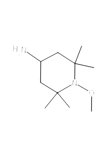 CON1C(C)(C)CC(N)CC1(C)C